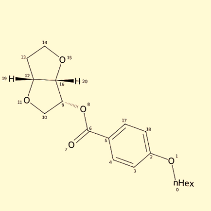 CCCCCCOc1ccc(C(=O)O[C@@H]2CO[C@@H]3CCO[C@@H]32)cc1